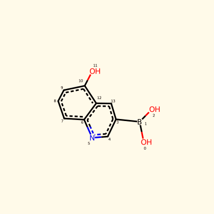 OB(O)c1cnc2cccc(O)c2c1